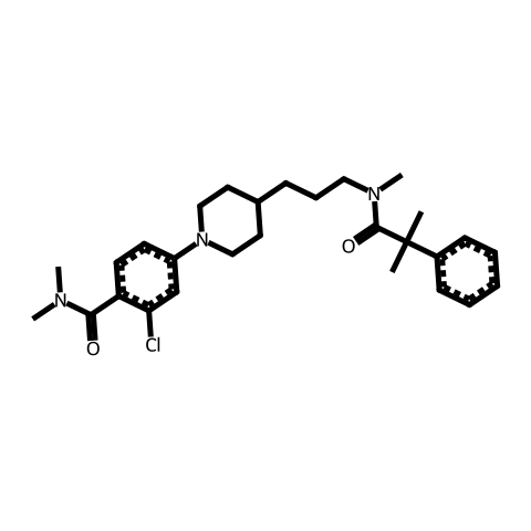 CN(C)C(=O)c1ccc(N2CCC(CCCN(C)C(=O)C(C)(C)c3ccccc3)CC2)cc1Cl